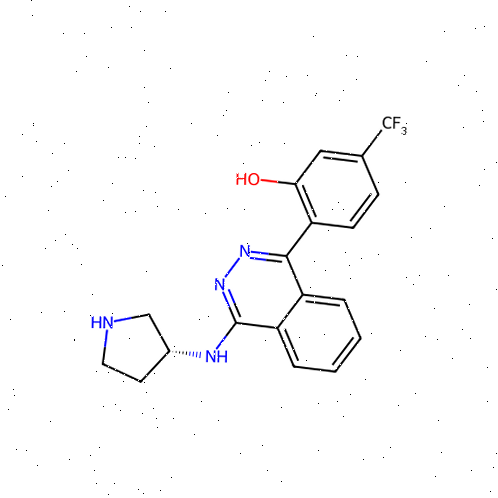 Oc1cc(C(F)(F)F)ccc1-c1nnc(N[C@@H]2CCNC2)c2ccccc12